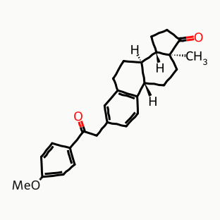 COc1ccc(C(=O)Cc2ccc3c(c2)CC[C@@H]2[C@@H]3CC[C@]3(C)C(=O)CC[C@@H]23)cc1